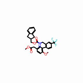 COC(=O)Cc1ccc(OC)c(-c2ccc(C(F)(F)F)cc2CNC(=O)OCC2Cc3ccccc3C2)c1